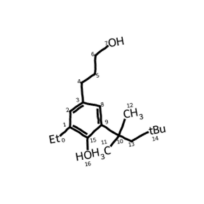 CCc1cc(CCCO)cc(C(C)(C)CC(C)(C)C)c1O